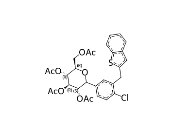 CC(=O)OC[C@H]1OC(c2ccc(Cl)c(Cc3cc4ccccc4s3)c2)[C@H](OC(C)=O)[C@@H](OC(C)=O)[C@@H]1OC(C)=O